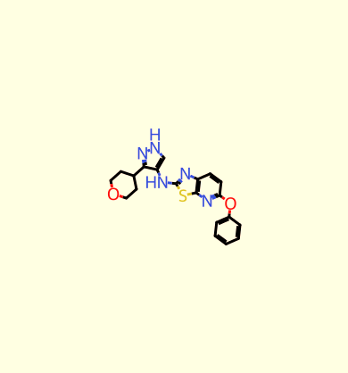 c1ccc(Oc2ccc3nc(Nc4c[nH]nc4C4CCOCC4)sc3n2)cc1